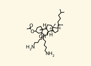 CC(=O)OC1CC[C@]2(C)[C@H]3CC[C@]4(C)[C@@H]([C@H](C)CCCC(C)C)CC[C@H]4C3=CC(N(CCCN)CCCCN)C2(O)C1